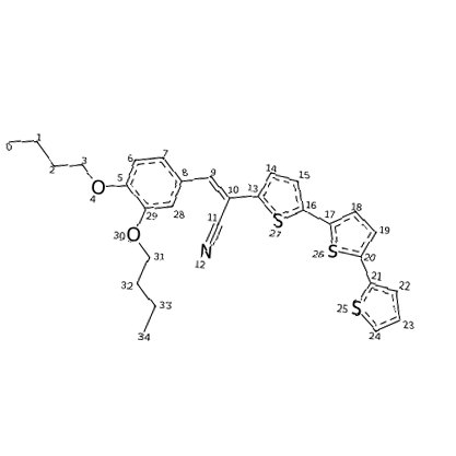 CCCCOc1ccc(/C=C(\C#N)c2ccc(-c3ccc(-c4cccs4)s3)s2)cc1OCCCC